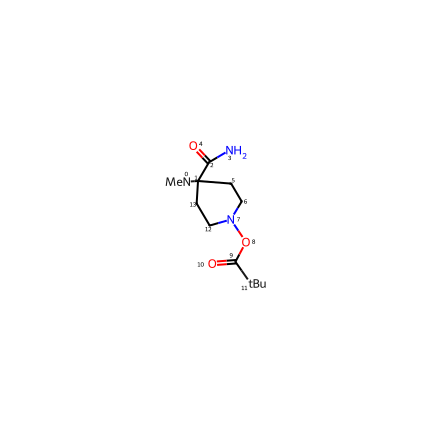 CNC1(C(N)=O)CCN(OC(=O)C(C)(C)C)CC1